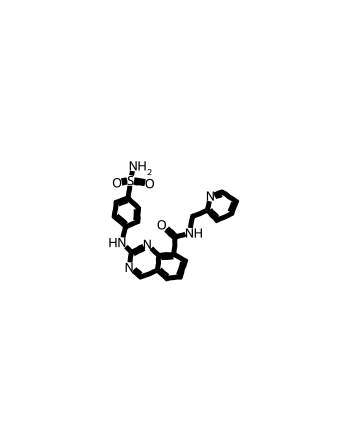 NS(=O)(=O)c1ccc(Nc2ncc3cccc(C(=O)NCc4ccccn4)c3n2)cc1